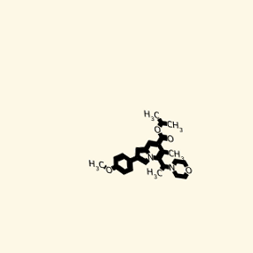 COc1ccc(-c2cc3cc(C(=O)OC(C)C)c(C)c(C(C)N4CCOCC4)n3c2)cc1